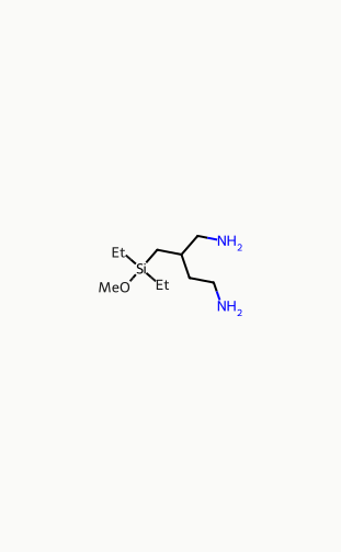 CC[Si](CC)(CC(CN)CCN)OC